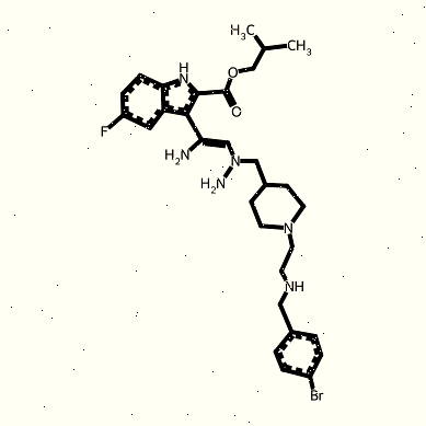 CC(C)COC(=O)c1[nH]c2ccc(F)cc2c1/C(N)=C/N(N)CC1CCN(CCNCc2ccc(Br)cc2)CC1